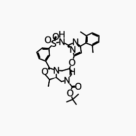 Cc1cccc(C)c1-c1cc2nc(n1)NS(=O)(=O)c1cccc(c1)C(=O)N1C[C@@H](CN(C(=O)OC(C)(C)C)C[C@H]1C(C)C)O2